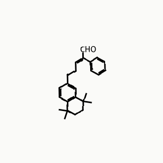 CC1(C)CCC(C)(C)c2cc(CCC=C(C=O)c3ccccc3)ccc21